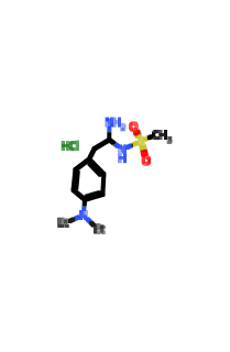 CCN(CC)c1ccc(CC(N)NS(C)(=O)=O)cc1.Cl